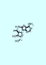 Nc1ncnc2c1nc(N)n2[C@@H]1O[C@H](CO)C(O)/C1=C\F